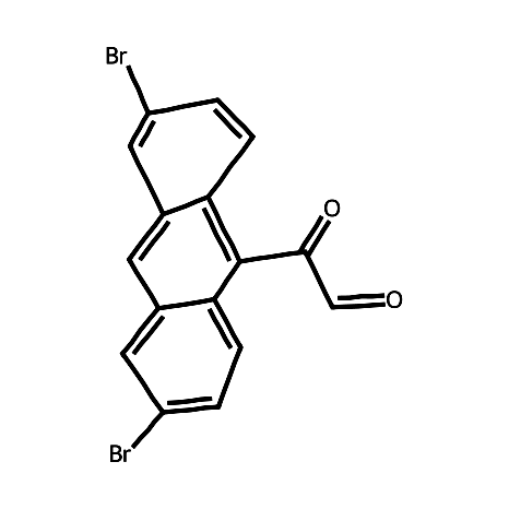 O=CC(=O)c1c2ccc(Br)cc2cc2cc(Br)ccc12